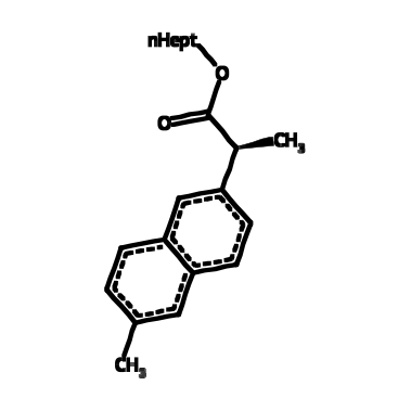 CCCCCCCOC(=O)[C@@H](C)c1ccc2cc(C)ccc2c1